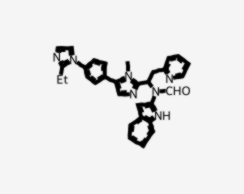 CCc1nccn1-c1ccc(-c2cnc(C(Cc3ccccn3)N(C=O)c3cc4ccccc4[nH]3)n2C)cc1